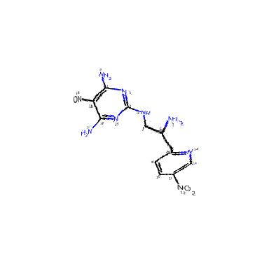 Nc1nc(NCC(N)c2ccc([N+](=O)[O-])cn2)nc(N)c1N=O